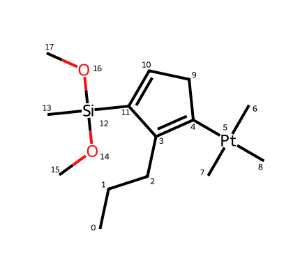 CCCC1=[C]([Pt]([CH3])([CH3])[CH3])CC=C1[Si](C)(OC)OC